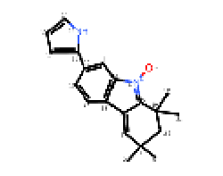 CC1(C)C=C2C(=[N+]([O-])c3cc(-c4ccc[nH]4)ccc32)C(C)(C)C1